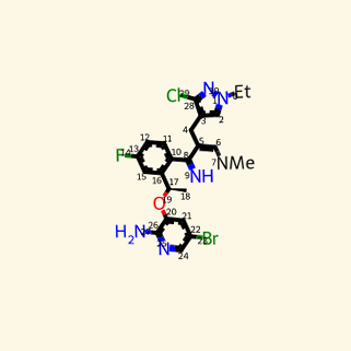 CCn1cc(C/C(=C/NC)C(=N)c2ccc(F)cc2[C@@H](C)Oc2cc(Br)cnc2N)c(Cl)n1